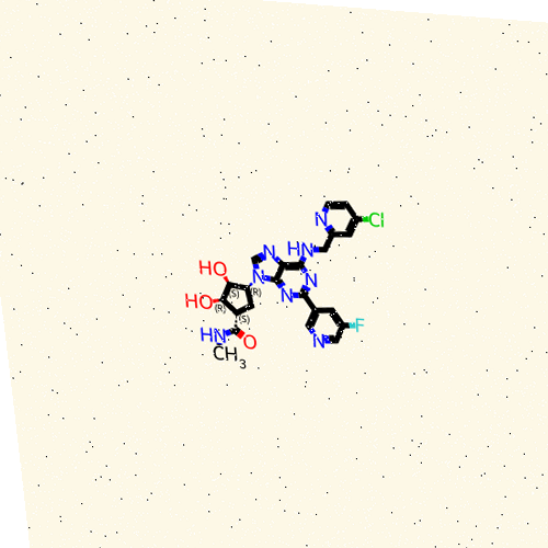 CNC(=O)[C@H]1C[C@@H](n2cnc3c(NCc4cc(Cl)ccn4)nc(-c4cncc(F)c4)nc32)[C@H](O)[C@@H]1O